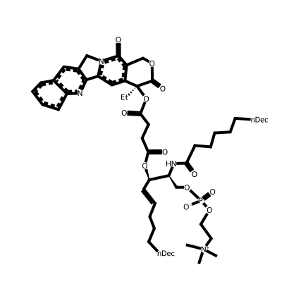 CCCCCCCCCCCCC/C=C/[C@@H](OC(=O)CCC(=O)O[C@]1(CC)C(=O)OCc2c1cc1n(c2=O)Cc2cc3ccccc3nc2-1)[C@H](COP(=O)([O-])OCC[N+](C)(C)C)NC(=O)CCCCCCCCCCCCCCC